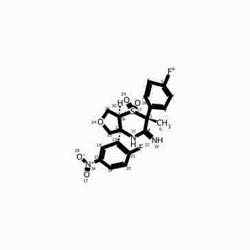 C[C@@]1(c2ccc(F)cc2)C(=N)N[C@@]2(c3cc([N+](=O)[O-])ccc3F)COC[C@H]2S1(=O)=O